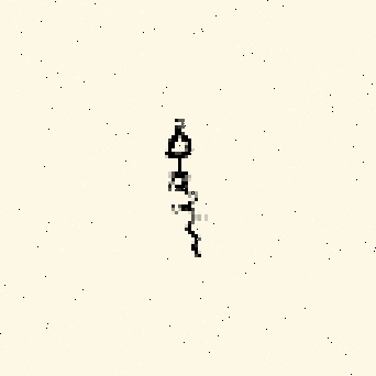 CCCCNC(=O)Oc1nc(-c2ccc(Cl)cc2)no1